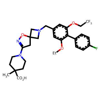 CCOc1cc(CN2CC3(CC(N4CCC(C)(C(=O)O)CC4)=NO3)C2)cc(OCC(F)(F)F)c1-c1ccc(F)cc1